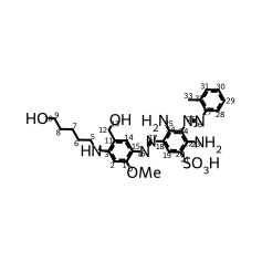 COc1cc(NCCCCCO)c(CO)cc1/N=N/c1cc(S(=O)(=O)O)c(N)c(/N=N/c2ccccc2C)c1N